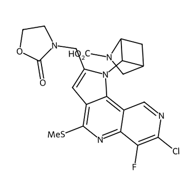 CSc1nc2c(F)c(Cl)ncc2c2c1cc(CN1CCOC1=O)n2C1C2CC1N(C(=O)O)C2